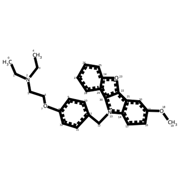 CCN(CC)CCOc1ccc(Cn2c3ccc(OC)cc3c3oc4ccccc4c32)cc1